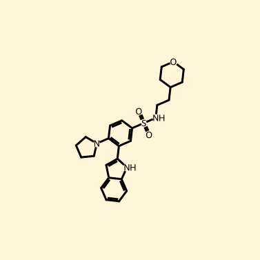 O=S(=O)(NCCC1CCOCC1)c1ccc(N2CCCC2)c(-c2cc3ccccc3[nH]2)c1